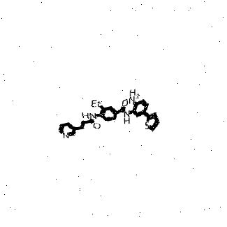 CCc1cc(C(=O)Nc2cc(-c3cccs3)ccc2N)ccc1NC(=O)CCc1cccnc1